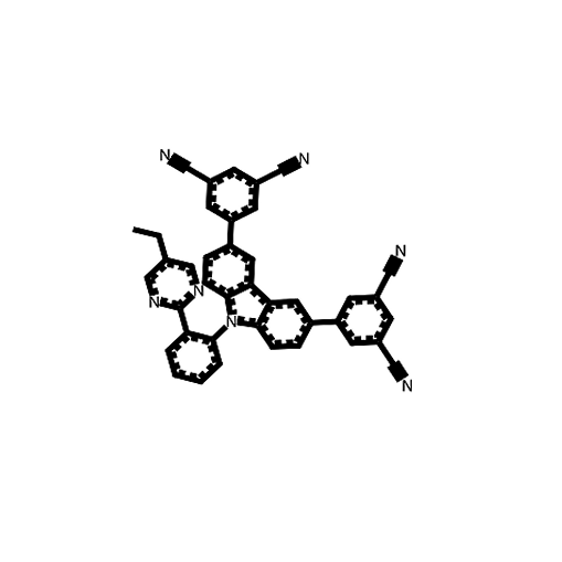 CCc1cnc(-c2ccccc2-n2c3ccc(-c4cc(C#N)cc(C#N)c4)cc3c3cc(-c4cc(C#N)cc(C#N)c4)ccc32)nc1